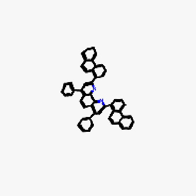 c1ccc(-c2cc(-c3cccc4c3ccc3ccccc34)nc3c2ccc2c(-c4ccccc4)cc(-c4cccc5c4ccc4ccccc45)nc23)cc1